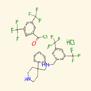 Cl.FC(F)(F)c1cc(CNCC2(c3ccccc3)CCNCC2)cc(C(F)(F)F)c1.O=C(Cl)c1cc(C(F)(F)F)cc(C(F)(F)F)c1